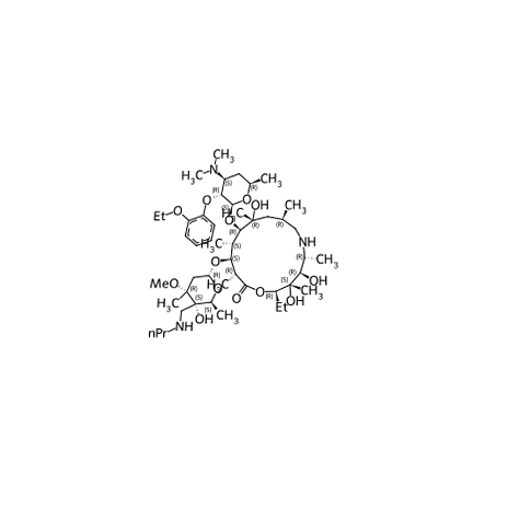 CCCNC[C@]1(O)[C@H](C)O[C@@H](O[C@H]2[C@H](C)[C@@H](O[C@@H]3O[C@H](C)C[C@H](N(C)C)[C@H]3Oc3ccccc3OCC)[C@](C)(O)C[C@@H](C)CN[C@H](C)[C@@H](O)[C@](C)(O)[C@@H](CC)OC(=O)[C@@H]2C)C[C@@]1(C)OC